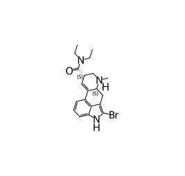 CCN(CC)C(=O)[C@H]1C=C2c3cccc4[nH]c(Br)c(c34)C[C@@H]2N(C)C1